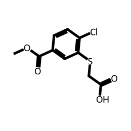 COC(=O)c1ccc(Cl)c(SCC(=O)O)c1